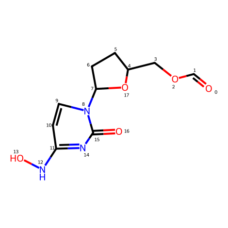 O=COCC1CCC(n2ccc(NO)nc2=O)O1